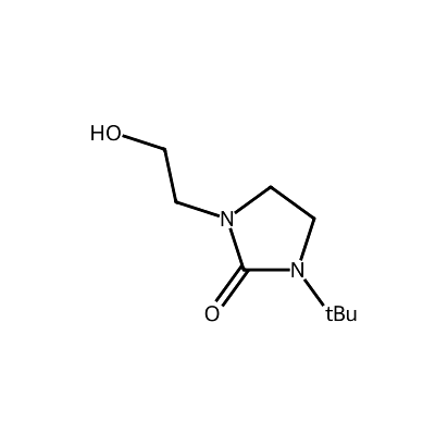 CC(C)(C)N1CCN(CCO)C1=O